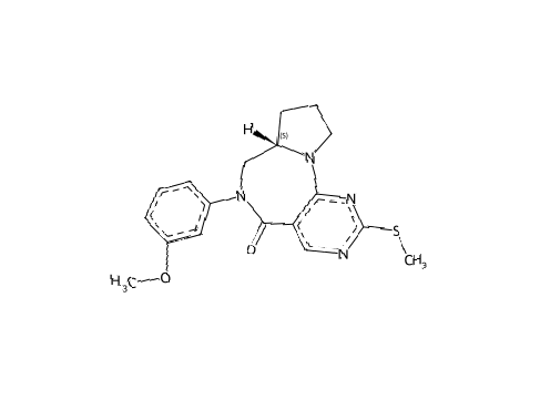 COc1cccc(N2C[C@@H]3CCCN3c3nc(SC)ncc3C2=O)c1